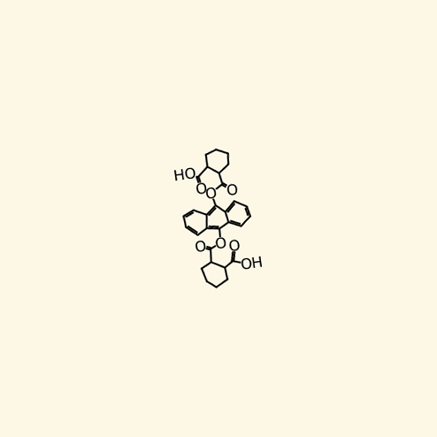 O=C(O)C1CCCCC1C(=O)Oc1c2ccccc2c(OC(=O)C2CCCCC2C(=O)O)c2ccccc12